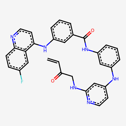 C=CC(=O)CNc1cc(Nc2cccc(NC(=O)c3cccc(Nc4ccnc5ccc(F)cc45)c3)c2)ccn1